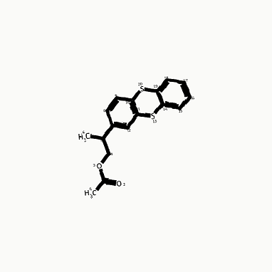 CC(=O)OCC(C)c1ccc2c(c1)Sc1ccccc1S2